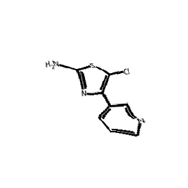 Nc1nc(-c2cccnc2)c(Cl)s1